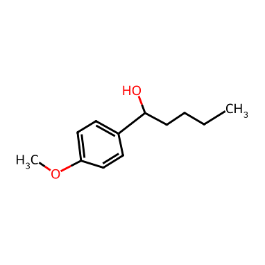 CCCCC(O)c1ccc(OC)cc1